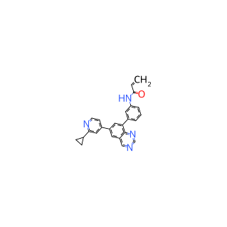 C=CC(=O)Nc1cccc(-c2cc(-c3ccnc(C4CC4)c3)cc3cncnc23)c1